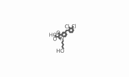 O=C(O)c1cn(CCCCCO)c2ccc(Cc3cccc(Cl)c3Cl)cc2c1=O